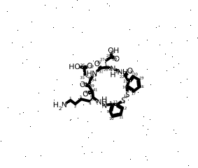 NCCCC[C@@H]1NNc2ccccc2SSc2ccccc2C(=O)NN[C@@H](CC(=O)O)C(=O)N[C@@H](CC(=O)O)C(=O)C1=O